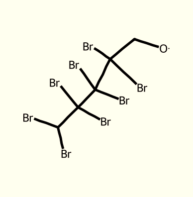 [O]CC(Br)(Br)C(Br)(Br)C(Br)(Br)C(Br)Br